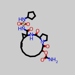 NC(=O)OC1CCCCC/C=C\C2CC2(C(=O)NS(=O)(=O)NC2CCCC2)NC(=O)C2CCCN2C1=O